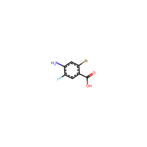 Nc1cc(Br)c(C(=O)O)cc1F